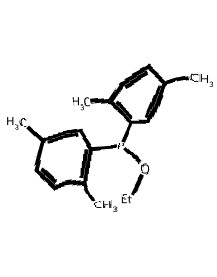 CCOP(c1cc(C)ccc1C)c1cc(C)ccc1C